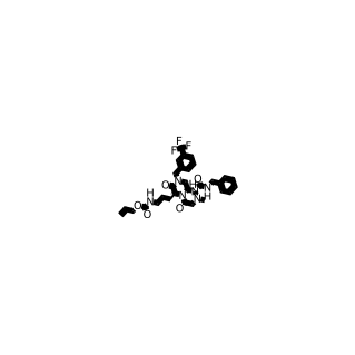 C=CCOC(=O)NCCC[C@H]1C(=O)N(Cc2cccc(C(F)(F)F)c2)C[C@H]2N1C(=O)CN(C)N2C(=O)NCc1ccccc1